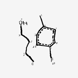 CCCCO.Cc1ccc(F)cc1